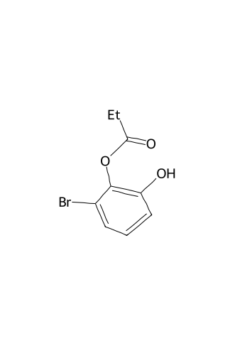 CCC(=O)Oc1c(O)cccc1Br